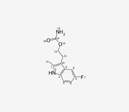 Cc1[nH]c2ccc(F)cc2c1CCOC(N)=O